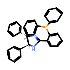 c1ccc([C@@H]2N=C(c3ccccc3P(c3ccccc3)c3ccccc3)N[C@H]2c2ccccc2)cc1